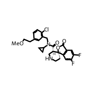 COCCc1ccc(Cl)c(CN(C(=O)[C@H]2CNCC[C@@]23OC(=O)c2cc(F)c(F)cc23)C2CC2)c1